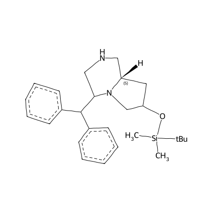 CC(C)(C)[Si](C)(C)OC1C[C@H]2CNCC(C(c3ccccc3)c3ccccc3)N2C1